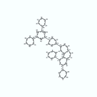 c1ccc(-c2cc(-c3ccccc3)c3c(ccc4ccc(-c5ccc(-c6nc(-c7ccccc7)nc(-c7ccccc7)n6)cc5)cc43)n2)cc1